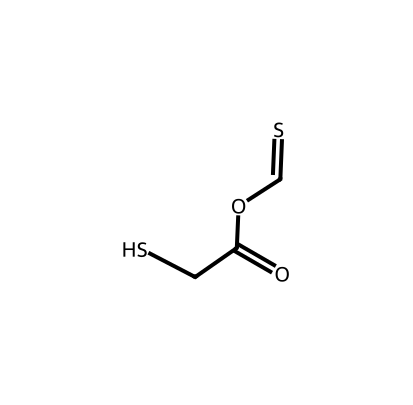 O=C(CS)OC=S